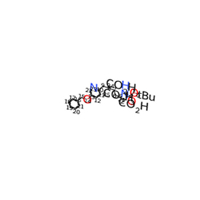 CC(C)(C)OC(=O)N[C@@H](CCC(Cc1ccc(OCc2ccccc2)cn1)(C(=O)O)C(=O)O)C(=O)O